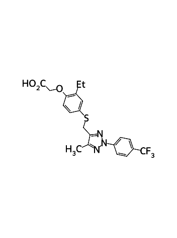 CCc1cc(SCc2nn(-c3ccc(C(F)(F)F)cc3)nc2C)ccc1OCC(=O)O